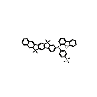 CC1(C)c2cc(N(c3ccc([Si](C)(C)C)cc3)c3cccc4c3oc3ccccc34)ccc2-c2cc3c(cc21)-c1cc2ccccc2cc1C3(C)C